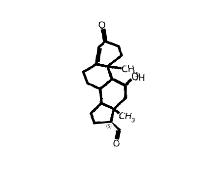 CC12CCC(=O)C=C1CCC1C2C(O)CC2(C)C1CC[C@@H]2C=O